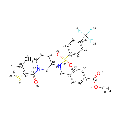 COC(=O)c1ccc(CN(C2CCCN(C(=O)c3sccc3C)C2)S(=O)(=O)c2ccc(C(F)(F)F)cc2)cc1